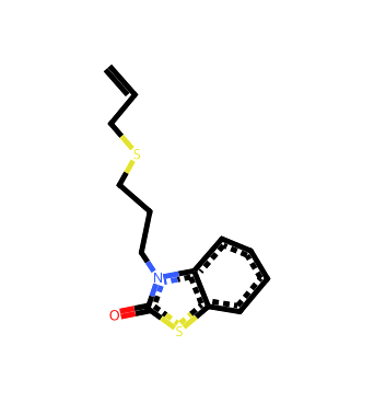 C=CCSCCCn1c(=O)sc2ccccc21